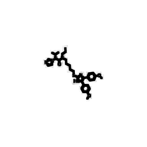 CCCN(CCCCCSc1nc(-c2ccc(OC)cc2)c(-c2ccc(OC)cc2)[nH]1)C(=O)N(C(C)C)n1ccnc1